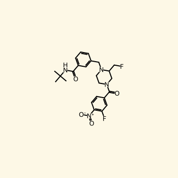 CC(C)(C)NC(=O)c1cccc(CN2CCN(C(=O)c3ccc([N+](=O)[O-])c(F)c3)CC2CF)c1